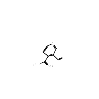 N=C(N)c1ccncc1[C]=O